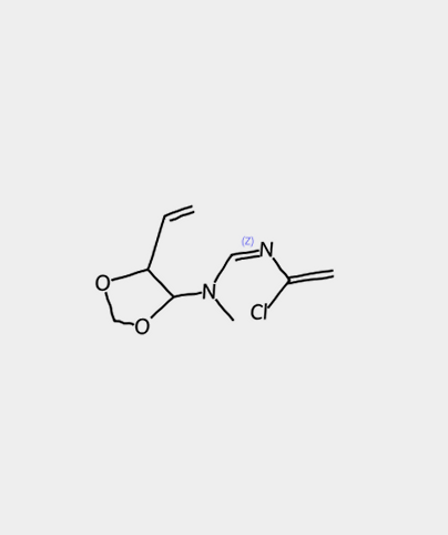 C=CC1OCOC1N(C)/C=N\C(=C)Cl